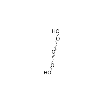 OCCOCCC=COC=CCCOCCO